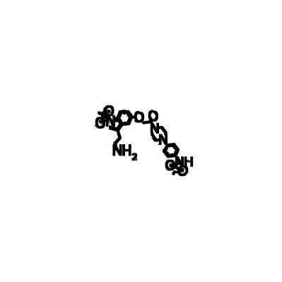 CS(=O)(=O)Nc1ccc(N2CCN(C(=O)COc3ccc4c(c3)c(CCN)cn4S(C)(=O)=O)CC2)cc1